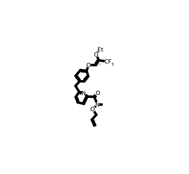 C=CCON(C)C(=O)c1cccc(Cc2ccc(O/C=C(\OCC)C(F)(F)F)cc2)n1